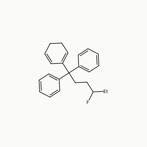 CCC(F)CCC(C1=CCCC=C1)(c1ccccc1)c1ccccc1